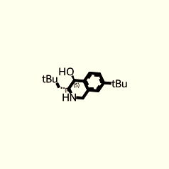 CC(C)(C)C[C@H]1NCc2cc(C(C)(C)C)ccc2[C@@H]1O